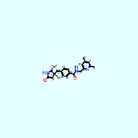 Cc1cc(C)nc(CNC(=O)c2ccc([C@@H](C)[C@]3(C)CC(=O)NC3=O)cc2)c1